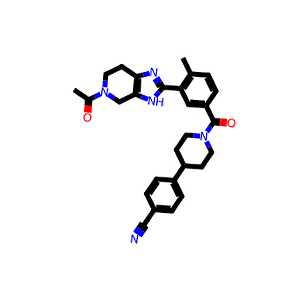 CC(=O)N1CCc2nc(-c3cc(C(=O)N4CCC(c5ccc(C#N)cc5)CC4)ccc3C)[nH]c2C1